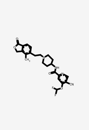 Cc1c(CCN2CCC(NC(=O)c3cc(OC(F)F)c(C#N)cn3)CC2)ccc2c1COC2=O